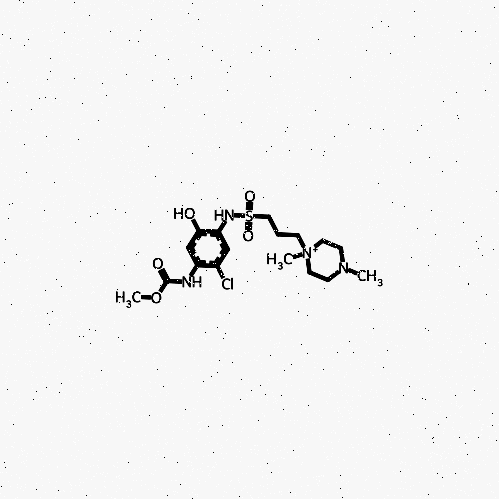 COC(=O)Nc1cc(O)c(NS(=O)(=O)CCC[N+]2(C)CCN(C)CC2)cc1Cl